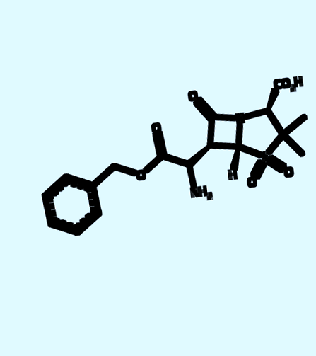 CC1(C)[C@H](C(=O)O)N2C(=O)[C@H](C(N)C(=O)OCc3ccccc3)[C@H]2S1(=O)=O